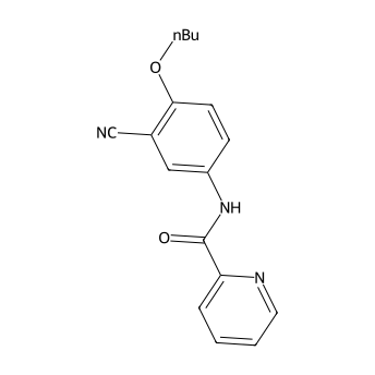 CCCCOc1ccc(NC(=O)c2ccccn2)cc1C#N